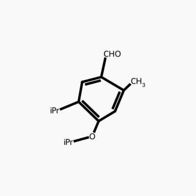 Cc1cc(OC(C)C)c(C(C)C)cc1C=O